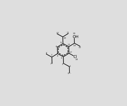 [CH2]CCc1c(C(C)C)cc(C(C)C)c(C(C)O)c1Cl